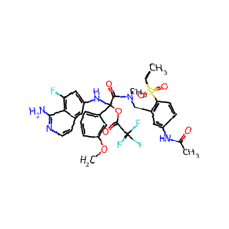 CCS(=O)(=O)c1ccc(NC(C)=O)cc1CN(C)C(=O)C(Nc1cc(F)c2c(N)nccc2c1)(OC(=O)C(F)(F)F)c1cccc(OC)c1